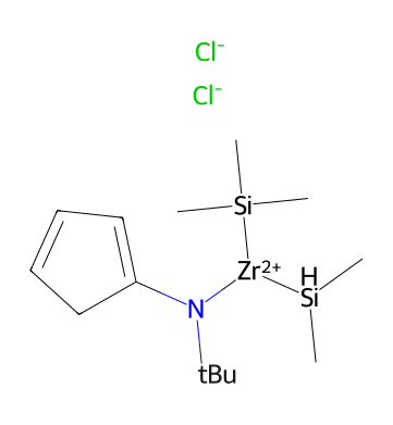 C[SiH](C)[Zr+2]([N](C1=CC=CC1)C(C)(C)C)[Si](C)(C)C.[Cl-].[Cl-]